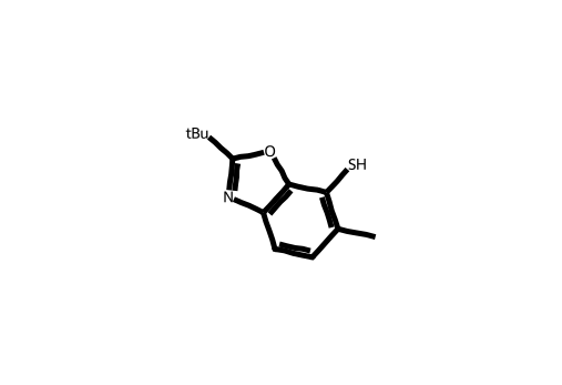 Cc1ccc2nc(C(C)(C)C)oc2c1S